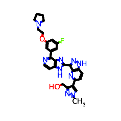 Cn1cc(-c2ccc3[nH]nc(-c4nc5c(-c6cc(F)cc(OCCN7CCCC7)c6)nccc5[nH]4)c3n2)c(CO)n1